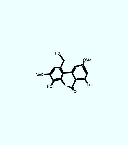 COc1cc(O)c2c(=O)oc3c(O)c(OC)cc(CO)c3c2c1